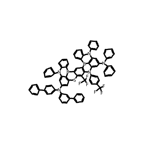 FC(F)(F)c1ccc(N2c3cc(N(c4ccccc4)c4ccccc4)cc4c3B(c3ccccc3N4c3ccccc3)c3cc4c(c(C(F)(F)F)c32)Sc2cc(N(c3ccc(-c5ccccc5)cc3)c3cccc(-c5ccccc5)c3)cc3c2B4c2ccccc2N3c2ccccc2)cc1